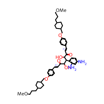 COCCCC1CCC(COc2ccc(/C=C/C(=O)C(O)C(c3ccc(N)cc3N)C(O)C(=O)/C=C/c3ccc(OCC4CCC(CCCOC)CC4)cc3)cc2)CC1